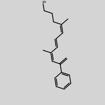 C=C(C=C(C)C=CC=C(C)CCCC(C)C)c1ccccc1